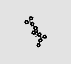 c1ccc(-c2ccc(N(c3ccccc3)c3ccc4c(c3)Oc3cccc5c3c-4cc3ccc(-c4ccc(N(c6ccccc6)c6ccccc6)cc4)cc35)cc2)cc1